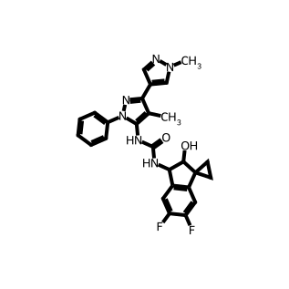 Cc1c(-c2cnn(C)c2)nn(-c2ccccc2)c1NC(=O)NC1c2cc(F)c(F)cc2C2(CC2)C1O